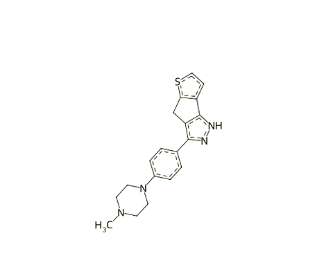 CN1CCN(c2ccc(-c3n[nH]c4c3Cc3sccc3-4)cc2)CC1